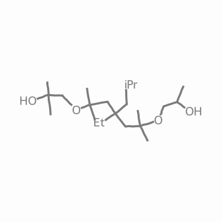 CCC(CC(C)C)(CC(C)(C)OCC(C)O)CC(C)(C)OCC(C)(C)O